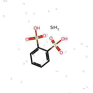 O=S(=O)(O)c1ccccc1S(=O)(=O)O.[SrH2]